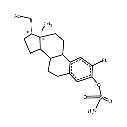 CCc1cc2c(cc1OS(N)(=O)=O)CCC1C2CC[C@@]2(C)C1CC[C@@H]2CC(C)=O